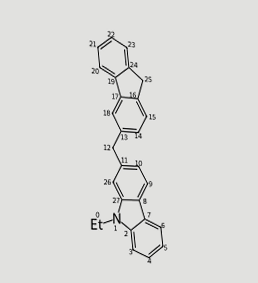 CCn1c2ccccc2c2ccc(Cc3ccc4c(c3)-c3ccccc3C4)cc21